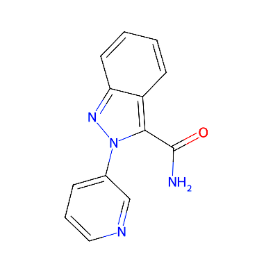 NC(=O)c1c2ccccc2nn1-c1cccnc1